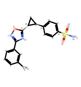 Cc1cccc(-c2noc([C@@H]3C[C@H]3c3ccc(S(N)(=O)=O)cc3)n2)c1